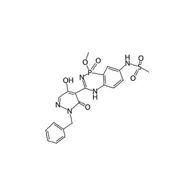 COP1(=O)N=C(c2c(O)cnn(Cc3ccccc3)c2=O)Nc2ccc(NS(C)(=O)=O)cc21